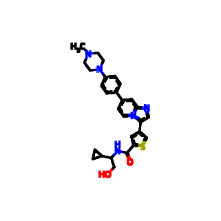 CN1CCN(c2ccc(-c3ccn4c(-c5csc(C(=O)NC(CO)C6CC6)c5)cnc4c3)cc2)CC1